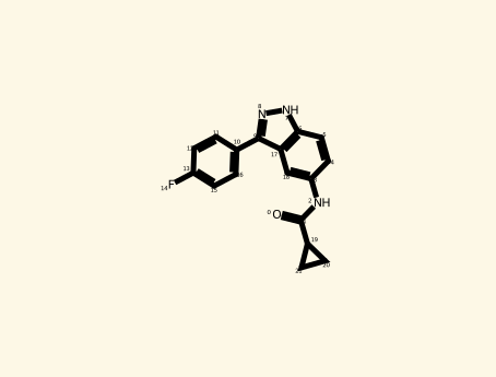 O=C(Nc1ccc2[nH]nc(-c3ccc(F)cc3)c2c1)C1CC1